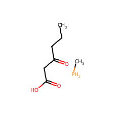 CCCC(=O)CC(=O)O.CP